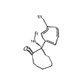 CCN[C@@]1(c2cccc(CC)c2)CCCCC1=O